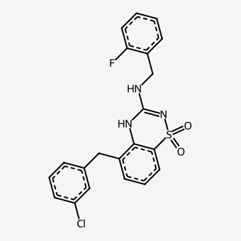 O=S1(=O)N=C(NCc2ccccc2F)Nc2c(Cc3cccc(Cl)c3)cccc21